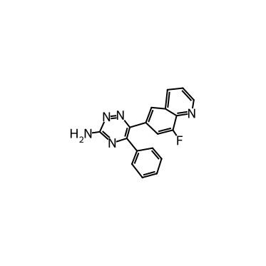 Nc1nnc(-c2cc(F)c3ncccc3c2)c(-c2ccccc2)n1